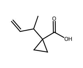 C=CC(C)C1(C(=O)O)CC1